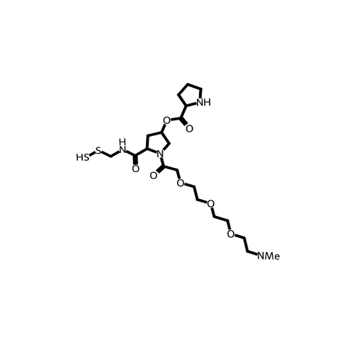 CNCCOCCOCCOCC(=O)N1CC(OC(=O)C2CCCN2)CC1C(=O)NCSS